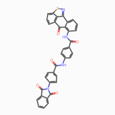 O=C(Nc1ccc(C(=O)Nc2cccc3c2C(=O)c2cccc4snc-3c24)cc1)c1ccc(N2C(=O)c3ccccc3C2=O)cc1